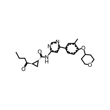 CCCC(=O)[C@@H]1C[C@H]1C(=O)Nc1cc(-c2ccc(OC3CCOCC3)c(C)c2)ncn1